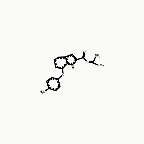 CNC(N)=NC(=O)c1cc2cccc(Oc3ccc(N)cc3)c2[nH]1